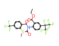 CCOC(=O)c1cc(C(F)(C(F)(F)F)C(F)(F)F)ccc1N(C(C)=O)C(=O)c1ccc(C(F)(F)F)cc1SI